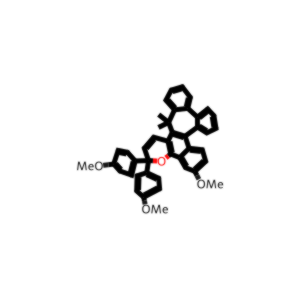 COc1ccc(C2(c3ccc(OC)cc3)C=Cc3c4c(c5ccc(OC)cc5c3O2)-c2ccccc2-c2ccccc2C4(C)C)cc1